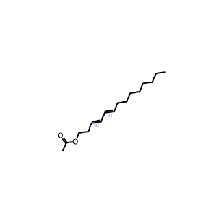 CCCCCCCC/C=C/C=C/CCOC(C)=O